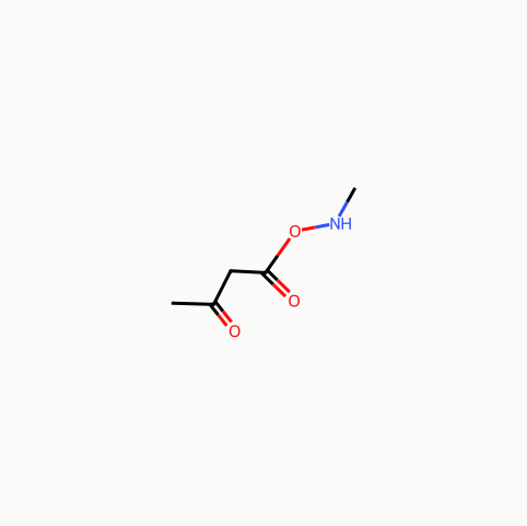 CNOC(=O)CC(C)=O